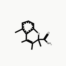 CC1=C(C)C(C)(C(N)=O)Oc2cccc(C)c21